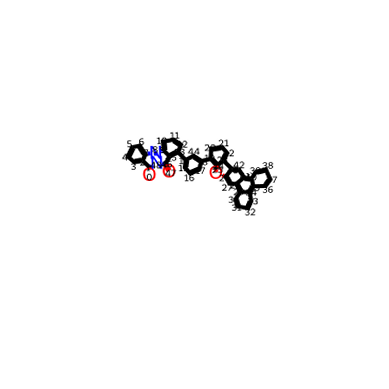 O=c1c2ccccc2n2c3cccc(-c4cccc(-c5cccc6c5oc5cc7c8ccccc8c8ccccc8c7cc56)c4)c3c(=O)n12